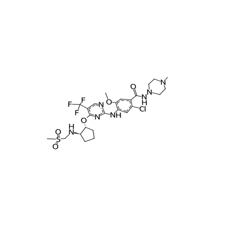 COc1cc(C(=O)NN2CCN(C)CC2)c(Cl)cc1Nc1ncc(C(F)(F)F)c(O[C@@H]2CCC[C@H]2NCS(C)(=O)=O)n1